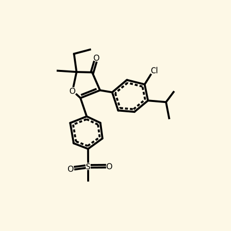 CCC1(C)OC(c2ccc(S(C)(=O)=O)cc2)=C(c2ccc(C(C)C)c(Cl)c2)C1=O